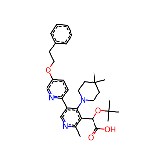 Cc1ncc(-c2ccc(OCCc3ccccc3)cn2)c(N2CCC(C)(C)CC2)c1C(OC(C)(C)C)C(=O)O